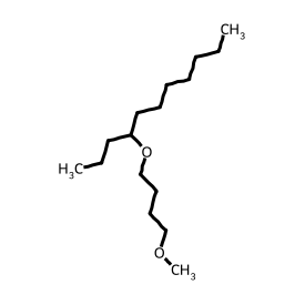 CCCCCCCC(CCC)OCCCCOC